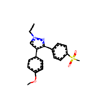 CCn1cc(-c2ccc(OC)cc2)c(-c2ccc(S(C)(=O)=O)cc2)n1